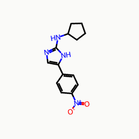 O=[N+]([O-])c1ccc(-c2cnc(NC3CCCC3)[nH]2)cc1